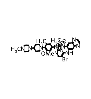 COc1cc(N2CCC(N3CCN(C)CC3)CC2)c(C)cc1Nc1ncc(Br)c(Nc2cc3nccnc3cc2NS(C)(=O)=O)n1